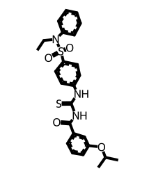 CCN(c1ccccc1)S(=O)(=O)c1ccc(NC(=S)NC(=O)c2cccc(OC(C)C)c2)cc1